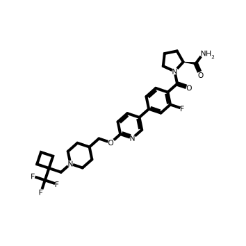 NC(=O)[C@@H]1CCCN1C(=O)c1ccc(-c2ccc(OCC3CCN(CC4(C(F)(F)F)CCC4)CC3)nc2)cc1F